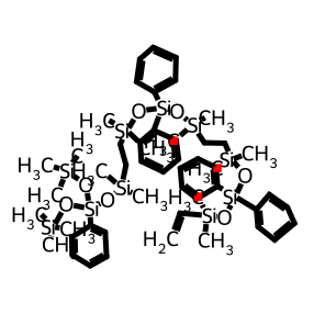 C=C[Si](C)(C)O[Si](O[Si](C)(C)CC[Si](C)(C)O[Si](O[Si](C)(C)CC[Si](C)(C)O[Si](O[Si](C)(C)C)(O[Si](C)(C)C)c1ccccc1)(c1ccccc1)c1ccccc1)(c1ccccc1)c1ccccc1